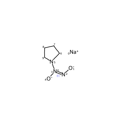 [Na+].[O-]/N=[N+](/[O-])N1CCCC1